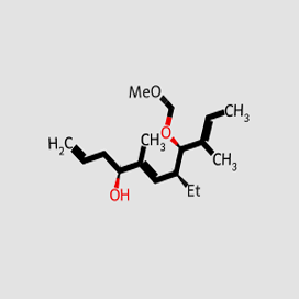 C=CC[C@H](O)/C(C)=C/[C@H](CC)[C@@H](OCOC)/C(C)=C/C